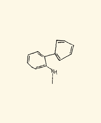 INc1ccccc1-c1ccccc1